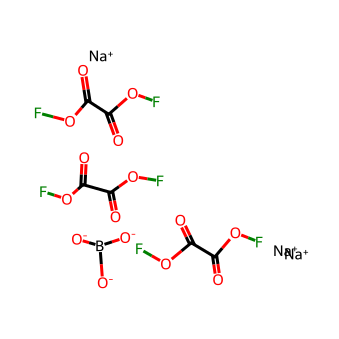 O=C(OF)C(=O)OF.O=C(OF)C(=O)OF.O=C(OF)C(=O)OF.[Na+].[Na+].[Na+].[O-]B([O-])[O-]